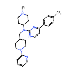 CC(C)N1CCC(N(CC2CCN(c3ccccn3)CC2)c2nccc(-c3ccc(C(F)(F)F)cc3)n2)CC1